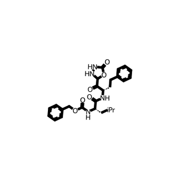 CC(C)C[C@H](NC(=O)OCc1ccccc1)C(=O)N[C@@H](CCc1ccccc1)C(=O)C1NNC(=O)O1